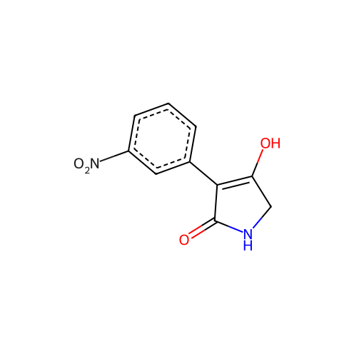 O=C1NCC(O)=C1c1cccc([N+](=O)[O-])c1